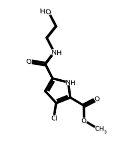 COC(=O)c1[nH]c(C(=O)NCCO)cc1Cl